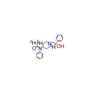 [2H]C([2H])(C)C(=O)N(c1ccccc1)C1CCN(CC([2H])(O)c2ccccc2)CC1